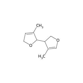 CC1=COCC1C1OCC=C1C